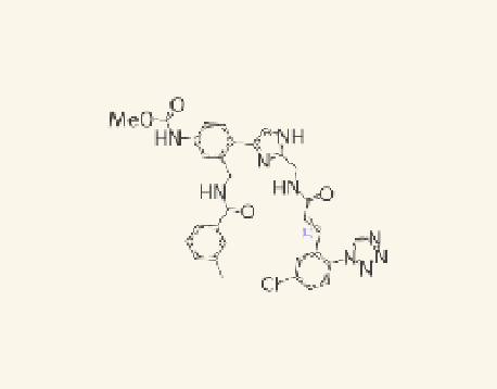 COC(=O)Nc1ccc(-c2c[nH]c(CNC(=O)/C=C/c3cc(Cl)ccc3-n3cnnn3)n2)c(CNC(=O)c2cccc(C)c2)c1